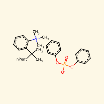 CCCCCC(C)(C)c1ccccc1[N+](C)(C)C.O=P([O-])(Oc1ccccc1)Oc1ccccc1